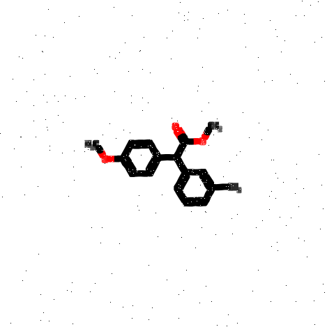 COC(=O)C(c1ccc(OC)cc1)c1cccc(C)c1